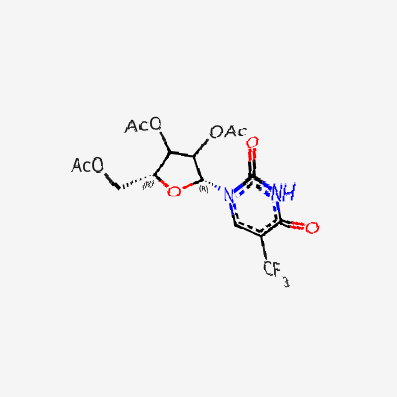 CC(=O)OC[C@H]1O[C@@H](n2cc(C(F)(F)F)c(=O)[nH]c2=O)C(OC(C)=O)C1OC(C)=O